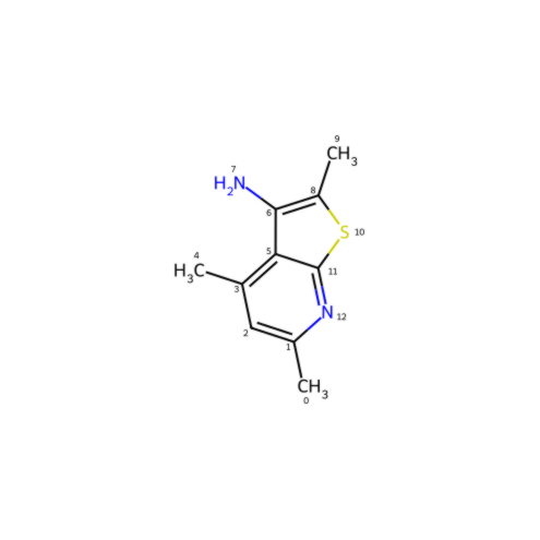 Cc1cc(C)c2c(N)c(C)sc2n1